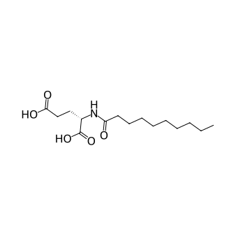 CCCCCCCCCC(=O)N[C@@H](CCC(=O)O)C(=O)O